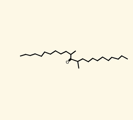 CCCCCCCCCCC(C)C(=O)C(C)CCCCCCCCCC